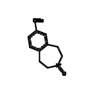 COc1ccc2c(c1)CC[N+](=O)CC2